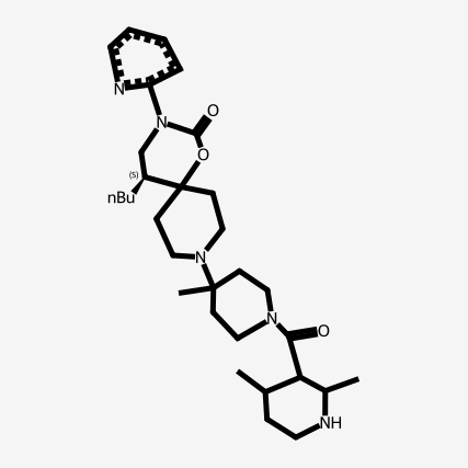 CCCC[C@H]1CN(c2ccccn2)C(=O)OC12CCN(C1(C)CCN(C(=O)C3C(C)CCNC3C)CC1)CC2